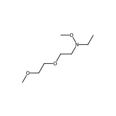 CCN(CCOCCOC)OC